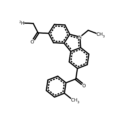 [2H]CC(=O)c1ccc2c(c1)c1cc(C(=O)c3ccccc3C)ccc1n2CC